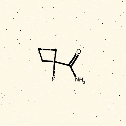 NC(=O)C1(F)CCC1